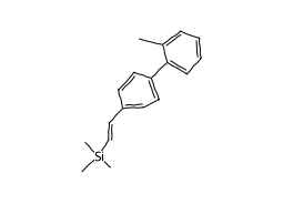 Cc1ccccc1-c1ccc(/C=C/[Si](C)(C)C)cc1